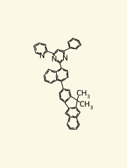 CC1(C)c2cc(-c3ccc(-c4nc(-c5ccccc5)cc(-c5ccccn5)n4)c4ccccc34)ccc2-c2cc3ccccc3cc21